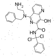 NCCN(Cc1ccccc1)c1nc(C(=O)NC(Cl)(Cl)c2ccccc2)c(O)c2ncccc12